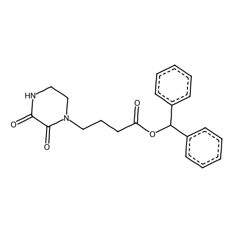 O=C(CCCN1CCNC(=O)C1=O)OC(c1ccccc1)c1ccccc1